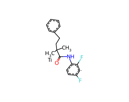 CC(C)(CCc1ccccc1)C(=O)Nc1ccc(F)[c]c1F.[Ti]